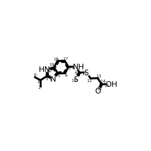 CC(C)c1nc2cc(NC(=S)SCCC(=O)O)ccc2[nH]1